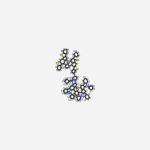 c1ccc(-n2c3ccccc3c3cc4c5c(cc6c7ccccc7n(-c7ccccc7)c46)B4c6c(cccc6-c6c7c4cc4c8ccc(-c9ccc%10c(c9)sc9cc%11c%12c(cc%13c%14ccccc%14sc%11%13)B%11c%13c(cccc%13-c%12c9%10)-c9c%10c%11cc%11c%12ccccc%12sc%11c%10cc%10sc%11ccccc%11c9%10)cc8n(-c8ccccc8)c4c7cc4c7ccccc7n(-c7ccccc7)c64)-c5c32)cc1